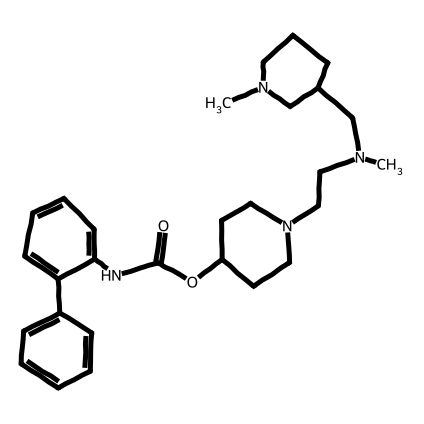 CN1CCCC(CN(C)CCN2CCC(OC(=O)Nc3ccccc3-c3ccccc3)CC2)C1